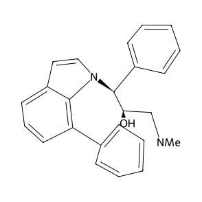 CNC[C@@H](O)[C@H](c1ccccc1)n1ccc2cccc(-c3ccccc3)c21